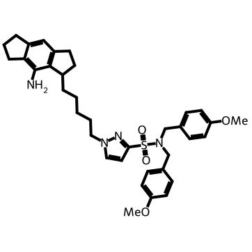 COc1ccc(CN(Cc2ccc(OC)cc2)S(=O)(=O)c2ccn(CCCCCC3CCc4cc5c(c(N)c43)CCC5)n2)cc1